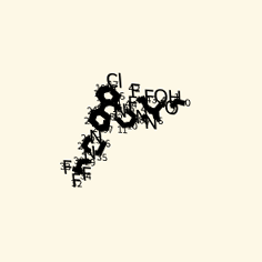 CCOC(O)c1cnn(C2CCCN(c3cc(Cl)ccc3-c3ccc(N4CCN(CCC(F)(F)F)CC4)cc3)C2)c1C(F)(F)F